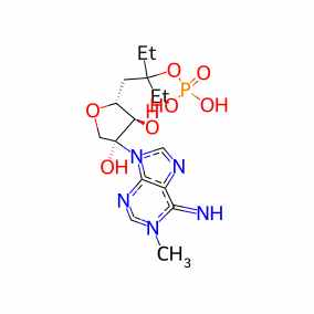 CCC(CC)(C[C@H]1OC[C@](O)(n2cnc3c(=N)n(C)cnc32)[C@@H]1O)OP(=O)(O)O